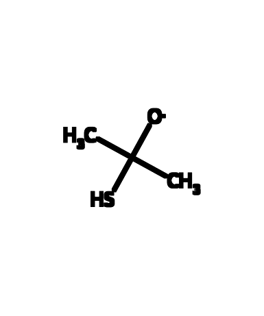 CC(C)([O])S